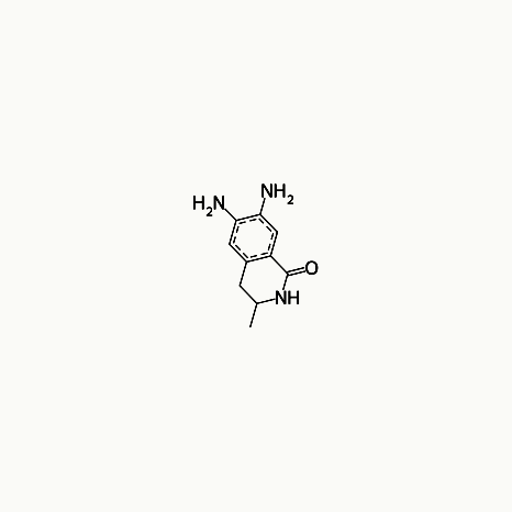 CC1Cc2cc(N)c(N)cc2C(=O)N1